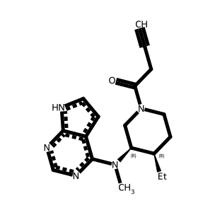 C#CCC(=O)N1CC[C@@H](CC)[C@@H](N(C)c2ncnc3[nH]ccc23)C1